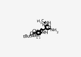 Cc1nc2c(-c3cc4cc(C(C)(C)O[SiH2]C(C)(C)C)ccc4[nH]3)cc(N)nc2[nH]1